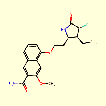 CC[C@@H]1[C@H](F)C(=O)N[C@@H]1CCOc1cccc2cc(C(N)=O)c(OC)cc12